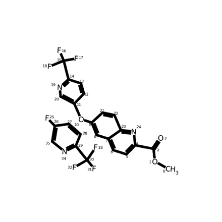 COC(=O)c1ccc2cc(Oc3ccc(C(F)(F)F)nc3)ccc2n1.Fc1ccc(C(F)(F)F)nc1